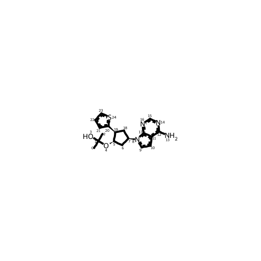 CC(C)(O)O[C@H]1C[C@H](n2ccc3c(N)ncnc32)C[C@@H]1c1cccs1